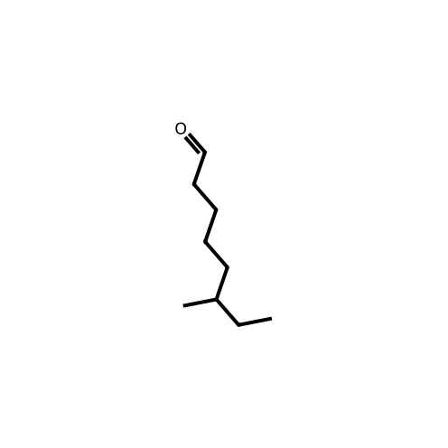 CCC(C)CCCCC=O